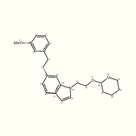 COc1cccc(CCc2ccc3ccn(CCOC4CCCCO4)c3c2)c1